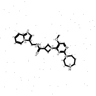 COc1cnc(N2CCCNCC2)nc1N1CC(C(=O)NCc2cnc3ccccn23)C1